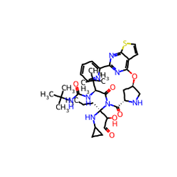 CCC[C@@](NC1CC1)(C(O)C=O)N(C(=O)[C@@H]1C[C@@H](Oc2nc(-c3ccccn3)nc3sccc23)CN1)C(=O)[C@@H](NC(=O)NC(C)(C)C)C(C)(C)C